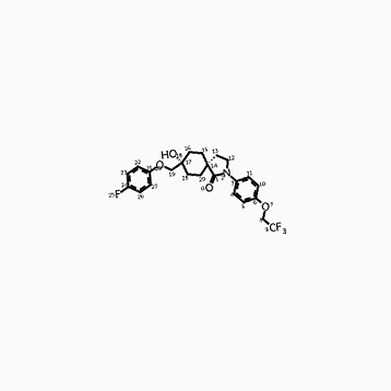 O=C1N(c2ccc(OCC(F)(F)F)cc2)CC[C@]12CC[C@](O)(COc1ccc(F)cc1)CC2